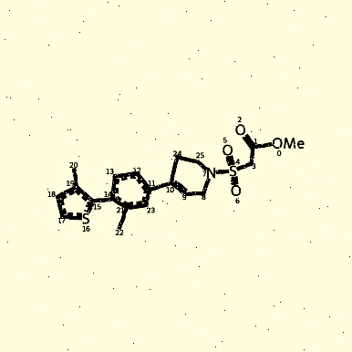 COC(=O)CS(=O)(=O)N1CC=C(c2ccc(-c3sccc3C)c(C)c2)CC1